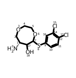 N[C@@H]1COCCOC(Sc2ccc(Cl)c(Cl)c2)C1O